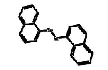 c1ccc2c([Se][Se]c3cccc4ccccc34)cccc2c1